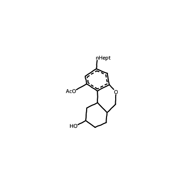 CCCCCCCc1cc2c(c(OC(C)=O)c1)C1CC(O)CCC1CO2